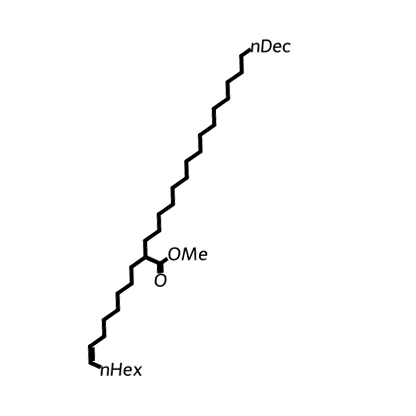 CCCCCC/C=C\CCCCCCC(CCCCCCCCCCCCCCCCCCCCCCCCC)C(=O)OC